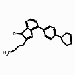 CCCCC1=Cc2c(-c3ccc(C4CCCCC4)cc3)cccc2[CH]1[Zr]